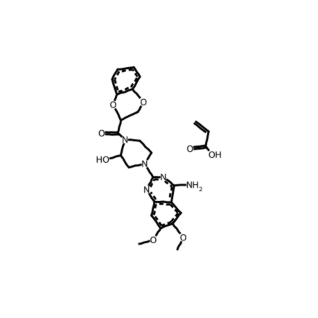 C=CC(=O)O.COc1cc2nc(N3CCN(C(=O)C4COc5ccccc5O4)C(O)C3)nc(N)c2cc1OC